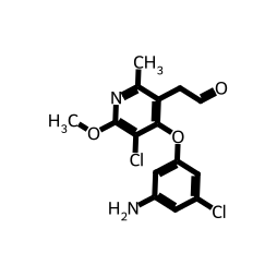 COc1nc(C)c(CC=O)c(Oc2cc(N)cc(Cl)c2)c1Cl